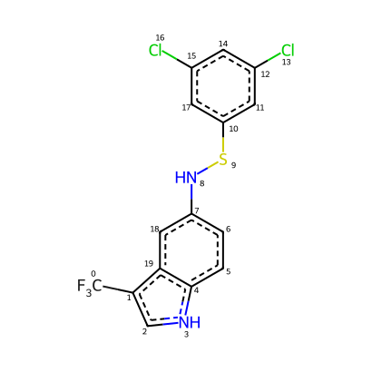 FC(F)(F)c1c[nH]c2ccc(NSc3cc(Cl)cc(Cl)c3)cc12